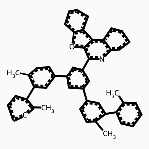 Cc1ccccc1-c1cc(-c2cc(-c3ccc(C)c(-c4ccccc4C)c3)cc(-c3nc4ccccc4c4c3oc3ccccc34)c2)ccc1C